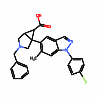 Cc1cc2c(cnn2-c2ccc(F)cc2)cc1C12CN(Cc3ccccc3)CC1C2C(=O)O